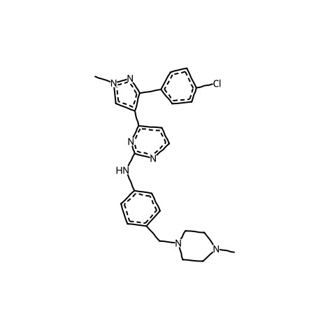 CN1CCN(Cc2ccc(Nc3nccc(-c4cn(C)nc4-c4ccc(Cl)cc4)n3)cc2)CC1